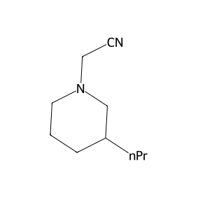 [CH2]CCC1CCCN(CC#N)C1